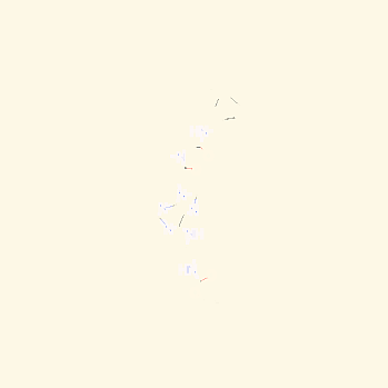 CCCCOC(=O)NCCNc1ncnc2c1ncn2CC(=O)N1C[C@H](F)C[C@H]1C(=O)NCc1cccc(Cl)c1F